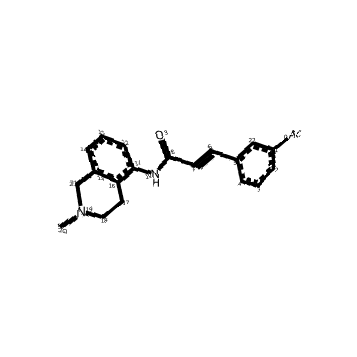 CC(=O)c1cccc(/C=C/C(=O)Nc2cccc3c2CCN(C)C3)c1